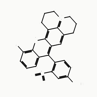 O=S(=O)([O-])c1cc(S(=O)(=O)O)ccc1C1=c2cc3c4c(c2Oc2c(Br)cccc21)CCC[N+]=4CCC3